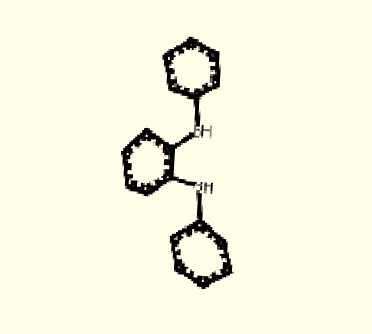 B(c1ccccc1)c1ccccc1Bc1ccccc1